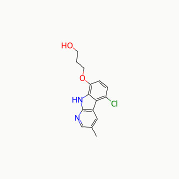 Cc1cnc2[nH]c3c(OCCCO)ccc(Cl)c3c2c1